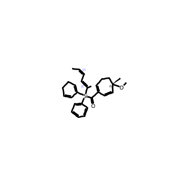 C/C=C\C=C(/C)[Si](C(=O)C1=CCC[C@](C)(OC)C=C1)(C1=CCCC=C1)c1ccccc1